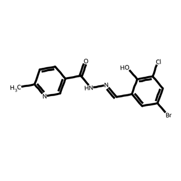 Cc1ccc(C(=O)N/N=C/c2cc(Br)cc(Cl)c2O)cn1